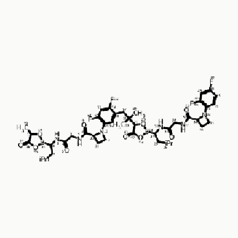 CC(C)CC(NC(=O)CNC(=O)C1CCN1c1cc(CC(C)(C)C2OB(C(CC(C)C)NC(=O)CNC(=O)C3CCN3c3ccc(F)cc3F)OC2=O)c(F)cc1F)B1OC(=O)C(C)O1